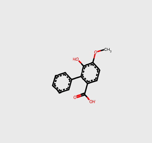 COc1ccc(C(=O)O)c(-c2ccccc2)c1O